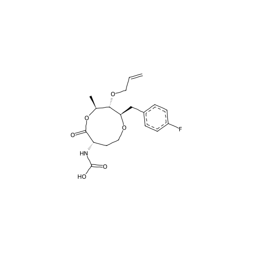 C=CCO[C@H]1[C@H](C)OC(=O)[C@@H](NC(=O)O)CCO[C@@H]1Cc1ccc(F)cc1